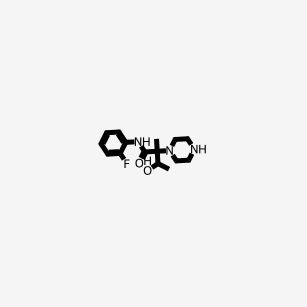 CC(O)C(C)(C(=O)Nc1ccccc1F)N1CCNCC1